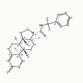 CC(C)(NC(=O)[C@H]1CC[C@H]2[C@@H]3CCC4=CC(=O)CC[C@]4(C)[C@H]3CC[C@]12C)c1ccccc1